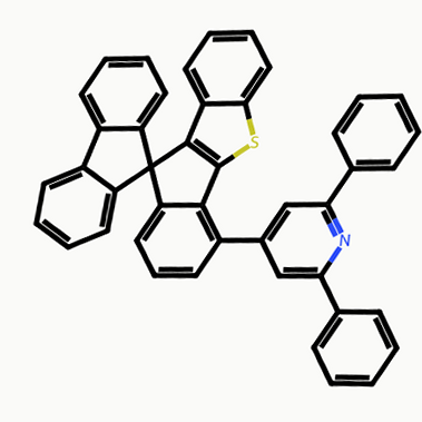 c1ccc(-c2cc(-c3cccc4c3-c3sc5ccccc5c3C43c4ccccc4-c4ccccc43)cc(-c3ccccc3)n2)cc1